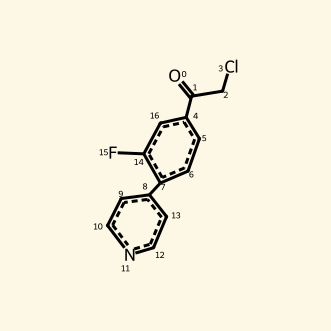 O=C(CCl)c1ccc(-c2ccncc2)c(F)c1